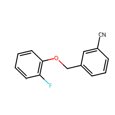 N#Cc1cccc(COc2ccc[c]c2F)c1